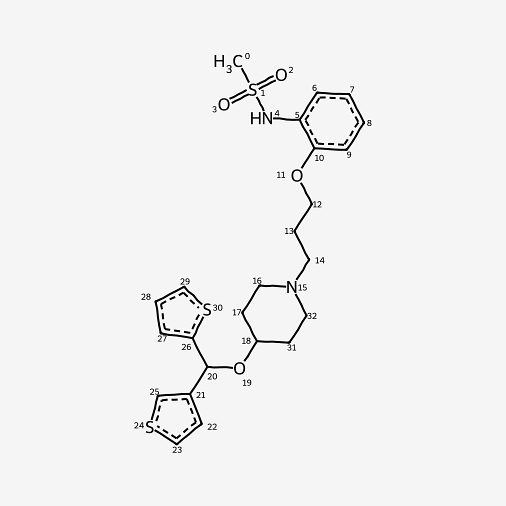 CS(=O)(=O)Nc1ccccc1OCCCN1CCC(OC(c2ccsc2)c2cccs2)CC1